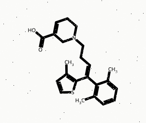 Cc1ccsc1C(=CCCN1CCC=C(C(=O)O)C1)c1c(C)cccc1C